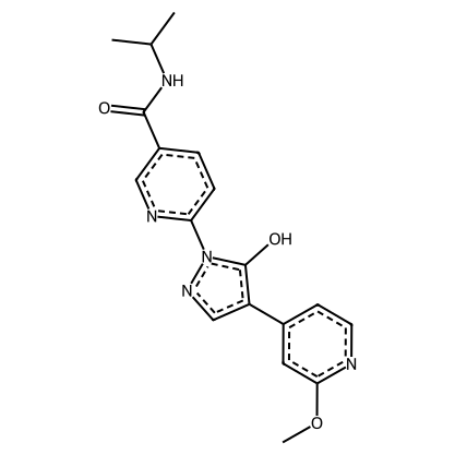 COc1cc(-c2cnn(-c3ccc(C(=O)NC(C)C)cn3)c2O)ccn1